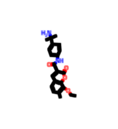 CCOc1c(C)ccc2cc(C(=O)Nc3ccc(C(C)(C)N)cc3)c(=O)oc12